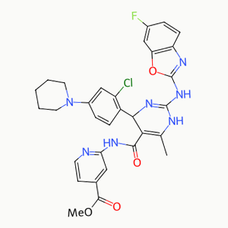 COC(=O)c1ccnc(NC(=O)C2=C(C)NC(Nc3nc4ccc(F)cc4o3)=NC2c2ccc(N3CCCCC3)cc2Cl)c1